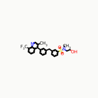 Cc1cnc2c(C(F)(F)F)cccc2c1-c1cccc(Cc2cccc(S(=O)(=O)N(C)CCO)c2)c1